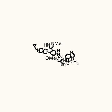 CN/C=C(\C=N)c1cc(Nc2ncc(Br)c(Nc3ccc4nccnc4c3P(C)C)n2)c(OC)cc1N1CCC2(CCN(CC3CC3)CC2)CC1